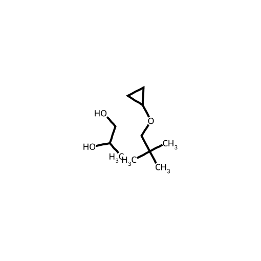 CC(C)(C)COC1CC1.CC(O)CO